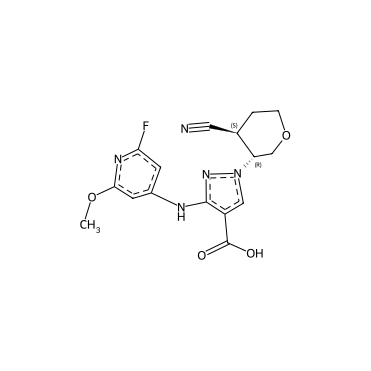 COc1cc(Nc2nn([C@H]3COCC[C@@H]3C#N)cc2C(=O)O)cc(F)n1